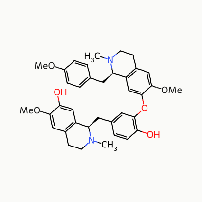 COc1ccc(C[C@@H]2c3cc(Oc4cc(C[C@@H]5c6cc(O)c(OC)cc6CCN5C)ccc4O)c(OC)cc3CCN2C)cc1